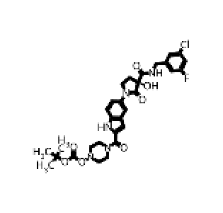 CC(C)(C)OC(=O)ON1CCN(C(=O)c2cc3cc(N4CC[C@](O)(C(=O)NCc5cc(F)cc(Cl)c5)C4=O)ccc3[nH]2)CC1